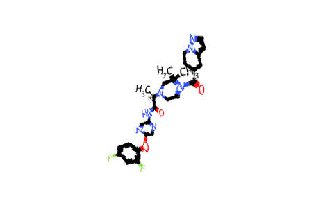 C[C@@H](C(=O)Nc1cnc(Oc2ccc(F)cc2F)cn1)N1CCN(C(=O)[C@@H]2CCn3nccc3C2)C(C)(C)C1